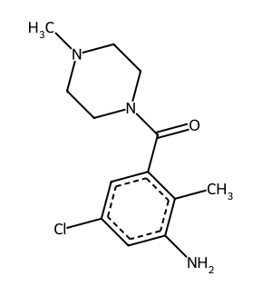 Cc1c(N)cc(Cl)cc1C(=O)N1CCN(C)CC1